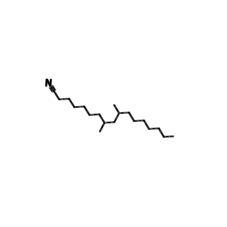 CCCCCCCC(C)CC(C)CCCCCCC#N